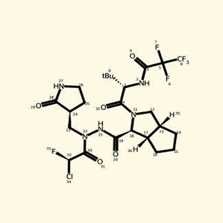 CC(C)(C)[C@H](NC(=O)C(F)(F)C(F)(F)F)C(=O)N1C[C@@H]2CCC[C@@H]2[C@H]1C(=O)NN(C[C@@H]1CCNC1=O)C(=O)[C@H](F)Cl